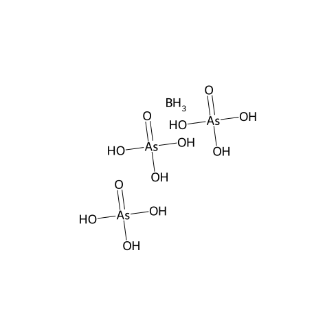 B.O=[As](O)(O)O.O=[As](O)(O)O.O=[As](O)(O)O